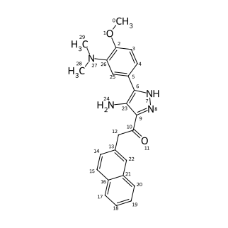 COc1ccc(-c2[nH]nc(C(=O)Cc3ccc4ccccc4c3)c2N)cc1N(C)C